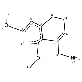 COc1cc2c(c(OC)c1)C(CN)=CCC2